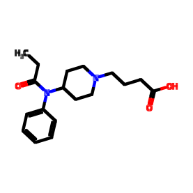 CCC(=O)N(c1ccccc1)C1CCN(CCCC(=O)O)CC1